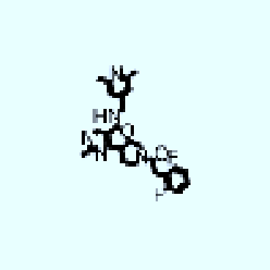 Cc1cc(CNC(=O)c2cnc(C)nc2C2CCN(C(=O)Cc3c(F)cccc3F)CC2)cc(C)n1